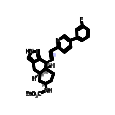 CCOC(=O)N[C@@H]1CC[C@@H]2[C@H](Cc3c[nH]nc3[C@H]2/C=C/c2ccc(-c3cccc(F)c3)cn2)C1